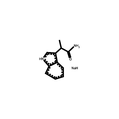 CC(C(N)=O)c1c[nH]c2ccccc12.[NaH]